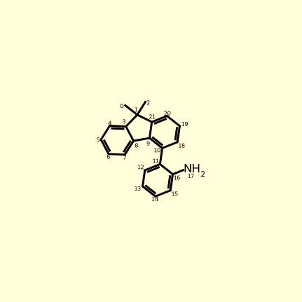 CC1(C)c2ccccc2-c2c(-c3ccccc3N)cccc21